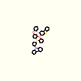 c1cc(B2c3ccccc3Oc3c2ccc2c3B(c3ccc4sc5ccccc5c4c3)c3ccccc3O2)cc(-n2c3ccccc3c3ccccc32)c1